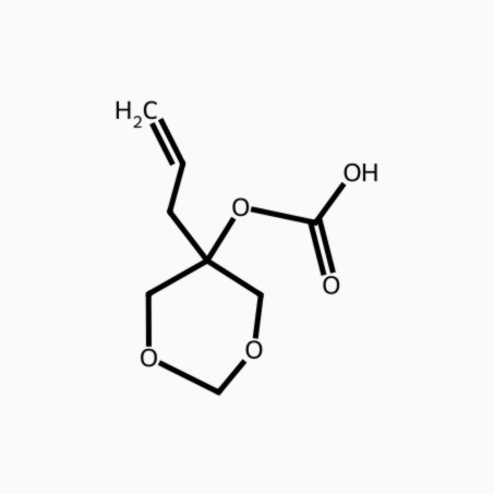 C=CCC1(OC(=O)O)COCOC1